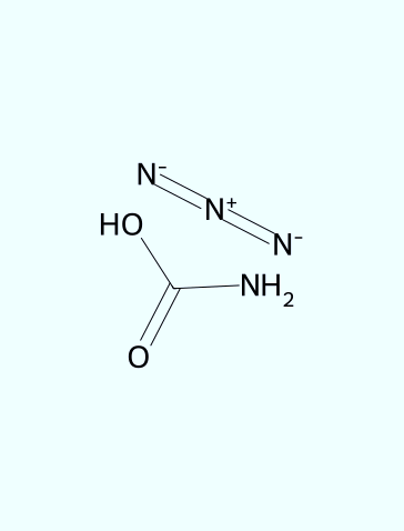 NC(=O)O.[N-]=[N+]=[N-]